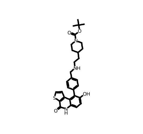 CC(C)(C)OC(=O)N1CCC(CCNCc2ccc(-c3c(O)ccc4[nH]c(=O)c5sccc5c34)cc2)CC1